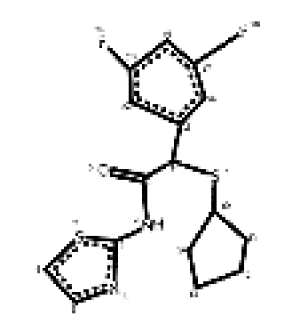 O=C(Nc1nccs1)C(SC1CCCC1)c1cc(F)cc(F)c1